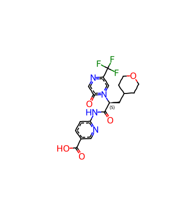 O=C(O)c1ccc(NC(=O)[C@H](CC2CCOCC2)n2cc(C(F)(F)F)ncc2=O)nc1